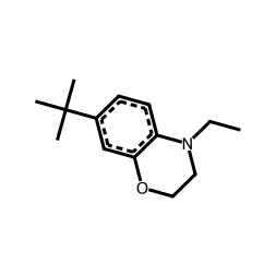 CCN1CCOc2cc(C(C)(C)C)ccc21